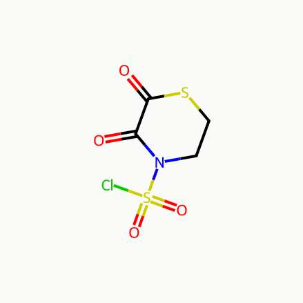 O=C1SCCN(S(=O)(=O)Cl)C1=O